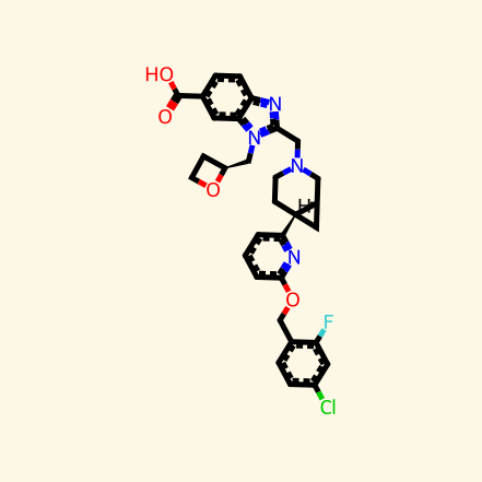 O=C(O)c1ccc2nc(CN3CC[C@@]4(c5cccc(OCc6ccc(Cl)cc6F)n5)C[C@H]4C3)n(C[C@@H]3CCO3)c2c1